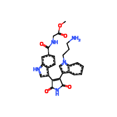 COC(=O)CNC(=O)c1ccc2c(C3=C(c4cn(CCCN)c5ccccc45)C(=O)NC3=O)c[nH]c2c1